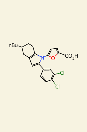 CCCCC1CCc2c(cc(-c3ccc(Cl)c(Cl)c3)n2-c2ccc(C(=O)O)o2)C1